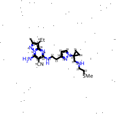 CCc1c(C)nn2c(N)c(C#N)c(NCCc3ccn(C4(CNCCSC)CC4)n3)nc12